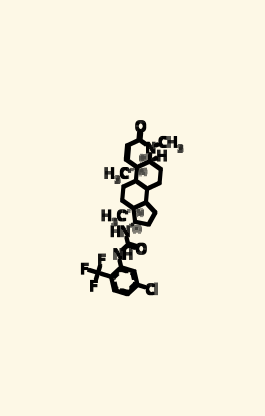 CN1C(=O)C=C[C@]2(C)C3CC[C@@]4(C)C(CC[C@@H]4NC(=O)Nc4cc(Cl)ccc4C(F)(F)F)C3CC[C@@H]12